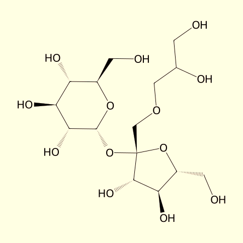 OCC(O)COC[C@@]1(O[C@H]2O[C@H](CO)[C@@H](O)[C@H](O)[C@H]2O)O[C@H](CO)[C@@H](O)[C@@H]1O